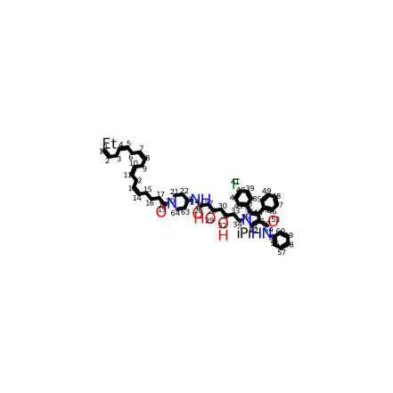 CC/C=C\C/C=C\C/C=C\C/C=C\C/C=C\CCCC(=O)N1CCC(NC(=O)C[C@H](O)C[C@H](O)CCn2c(-c3ccc(F)cc3)c(-c3ccccc3)c(C(=O)Nc3ccccc3)c2C(C)C)CC1